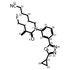 C=C(CCF)C(=O)N(CCCCCC#N)c1cccc(-c2nnc(C3CC3)o2)c1